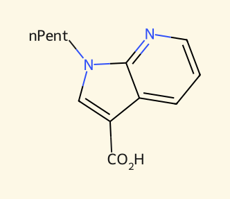 CCCCCn1cc(C(=O)O)c2cccnc21